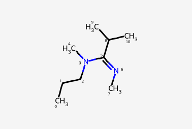 CCCN(C)/C(=N\C)C(C)C